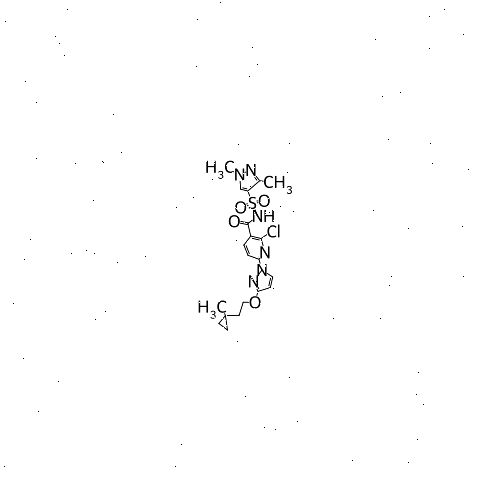 Cc1nn(C)cc1S(=O)(=O)NC(=O)c1ccc(-n2ccc(OCCC3(C)CC3)n2)nc1Cl